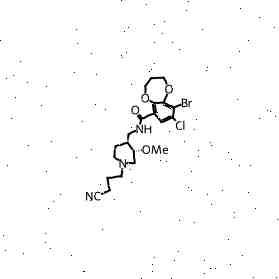 CO[C@@H]1CN(CCCC#N)CC[C@H]1CNC(=O)c1cc(Cl)c(Br)c2c1OCCCO2